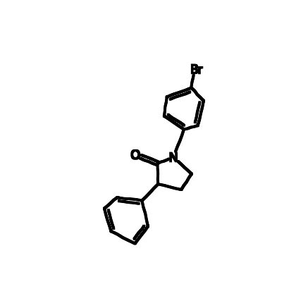 O=C1C(c2ccccc2)CCN1c1ccc(Br)cc1